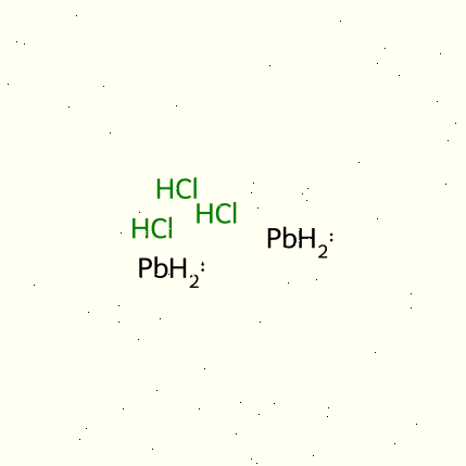 Cl.Cl.Cl.[PbH2].[PbH2]